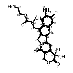 CC[C@@]1(O)C(=O)OCc2c1cc1n(c2=O)Cc2c-1nc1cc(F)c(N)cc1c2CN(C)C(=O)OCCO